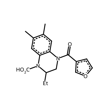 CCC1CN(C(=O)c2ccoc2)c2cc(C)c(C)cc2N1C(=O)O